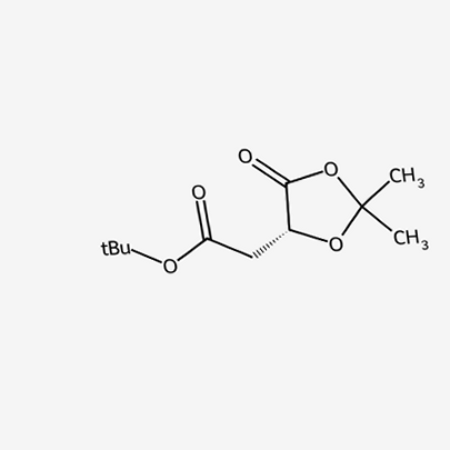 CC(C)(C)OC(=O)C[C@H]1OC(C)(C)OC1=O